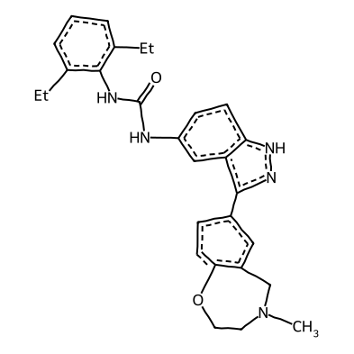 CCc1cccc(CC)c1NC(=O)Nc1ccc2[nH]nc(-c3ccc4c(c3)CN(C)CCO4)c2c1